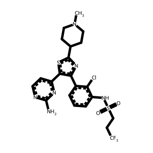 CN1CCC(c2nc(-c3cccc(NS(=O)(=O)CCC(F)(F)F)c3Cl)c(-c3ccnc(N)n3)s2)CC1